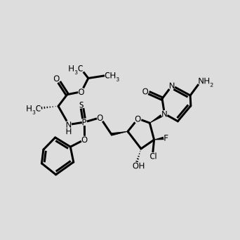 CC(C)OC(=O)[C@@H](C)NP(=S)(OC[C@H]1O[C@@H](n2ccc(N)nc2=O)[C@](F)(Cl)[C@@H]1O)Oc1ccccc1